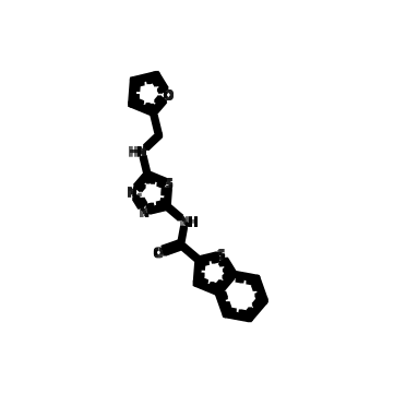 O=C(Nc1nnc(NCc2ccco2)s1)c1cc2ccccc2s1